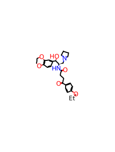 CCOc1ccc(C(=O)CCC(=O)N[C@H](CN2CCCC2)[C@H](O)c2ccc3c(c2)OCCO3)cc1